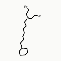 CC(C)CCN(CCCCCCCN1CCCCC1)CCC(C)C